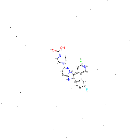 O=C(O)N1CCN(c2ccc3nc(-c4ccc(F)cc4)c(-c4ccnc(Cl)c4)n3n2)CC1